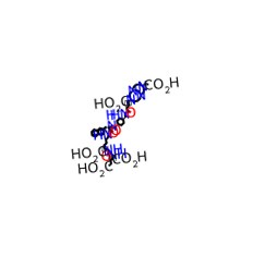 O=C(O)CC[C@H](NC(=O)N[C@@H](CCCCNC(=O)[C@H](Cc1ccc2ccccc2c1)NC(=O)[C@H]1CC[C@H](CNC(=O)CC[C@H](C(=O)O)N2CCCN3CCN(CCCN(CC(=O)O)CC3)CC2)CC1)C(=O)O)C(=O)O